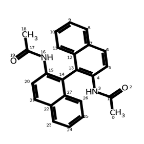 CC(=O)Nc1ccc2ccccc2c1-c1c(NC(C)=O)ccc2ccccc12